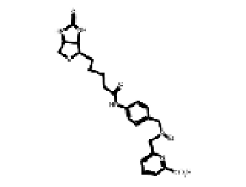 CCN(Cc1ccc(NC(=O)CCCCC2SCC3NC(=O)NC32)cc1)Cc1cccc(C(=O)O)n1